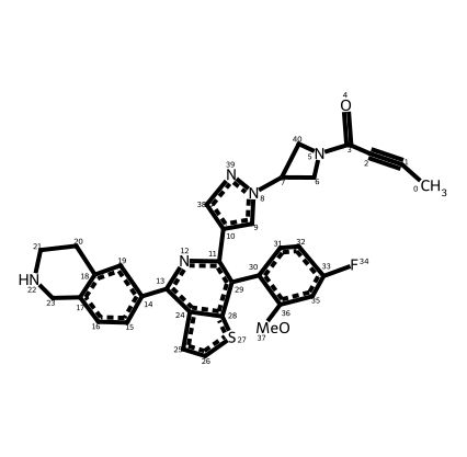 CC#CC(=O)N1CC(n2cc(-c3nc(-c4ccc5c(c4)CCNC5)c4ccsc4c3-c3ccc(F)cc3OC)cn2)C1